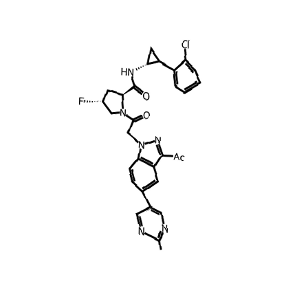 CC(=O)c1nn(CC(=O)N2C[C@H](F)C[C@H]2C(=O)N[C@@H]2CC2c2ccccc2Cl)c2ccc(-c3cnc(C)nc3)cc12